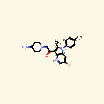 Cc1c(C(=O)CN2CCC(N)CC2)c2ncc(Br)cc2n1-c1ccc(C#N)cc1